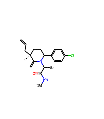 C=CC[C@@]1(C)CCC(c2ccc(Cl)cc2)N(C(CC)C(=O)NC(C)(C)C)C1=C